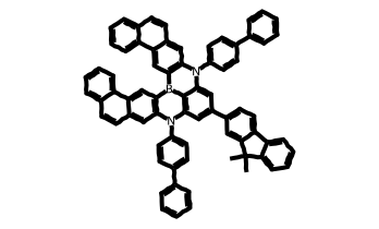 CC1(C)c2ccccc2-c2ccc(-c3cc4c5c(c3)N(c3ccc(-c6ccccc6)cc3)c3cc6ccc7ccccc7c6cc3B5c3cc5c(ccc6ccccc65)cc3N4c3ccc(-c4ccccc4)cc3)cc21